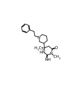 CN1C(=N)N[C@](C)(C2CCCN(CCc3ccccc3)C2)CC1=O